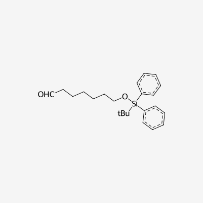 CC(C)(C)[Si](OCCCCCCC=O)(c1ccccc1)c1ccccc1